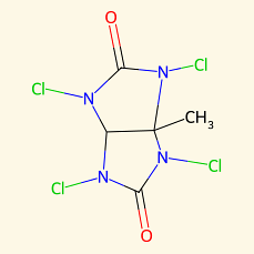 CC12C(N(Cl)C(=O)N1Cl)N(Cl)C(=O)N2Cl